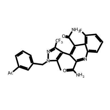 CC(=O)c1cccc(Cn2nc(C(F)(F)F)c(-c3c(C(N)=O)nc4cccc(F)c4c3C(N)=O)c2C)c1